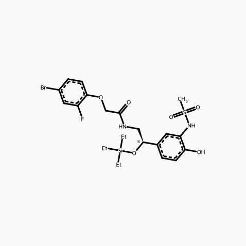 CC[Si](CC)(CC)O[C@@H](CNC(=O)COc1ccc(Br)cc1F)c1ccc(O)c(NS(C)(=O)=O)c1